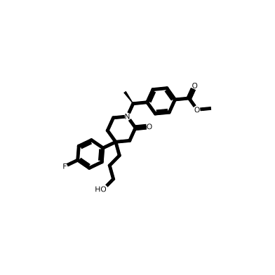 COC(=O)c1ccc([C@H](C)N2CCC(CCCO)(c3ccc(F)cc3)CC2=O)cc1